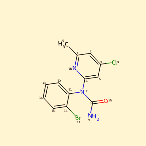 Cc1cc(Cl)cc(N(C(N)=O)c2ccccc2Br)n1